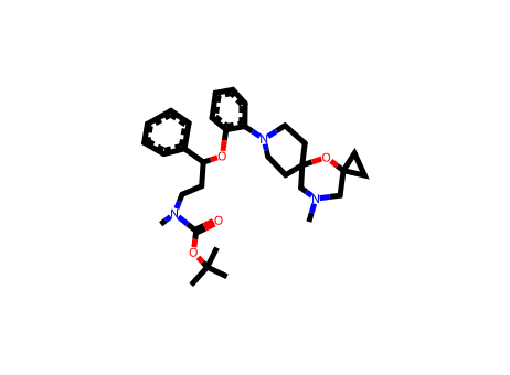 CN1CC2(CCN(c3ccccc3OC(CCN(C)C(=O)OC(C)(C)C)c3ccccc3)CC2)OC2(CC2)C1